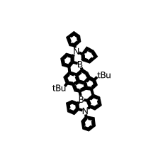 CC(C)(C)c1cc2c3c(cc4c(C(C)(C)C)cc5c6c(cc1c3c46)B1c3ccccc3N(c3ccccc3)c3cccc-5c31)B1c3ccccc3N(c3ccccc3)c3cccc-2c31